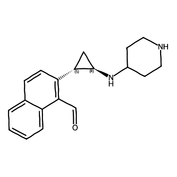 O=Cc1c([C@@H]2C[C@H]2NC2CCNCC2)ccc2ccccc12